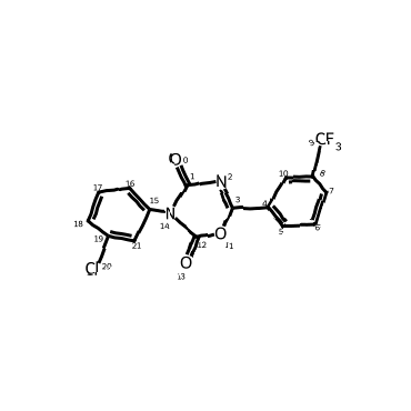 O=c1nc(-c2cccc(C(F)(F)F)c2)oc(=O)n1-c1cccc(Cl)c1